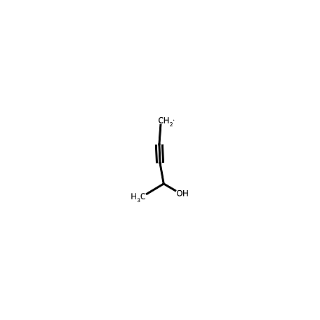 [CH2]C#CC(C)O